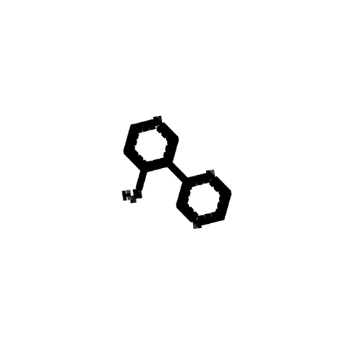 Nc1ccncc1-c1cnccn1